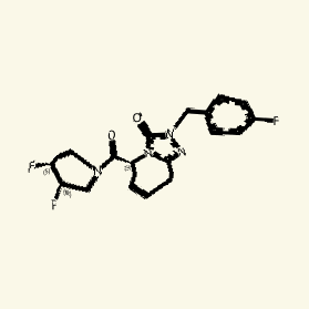 O=C([C@@H]1CCCc2nn(Cc3ccc(F)cc3)c(=O)n21)N1C[C@@H](F)[C@@H](F)C1